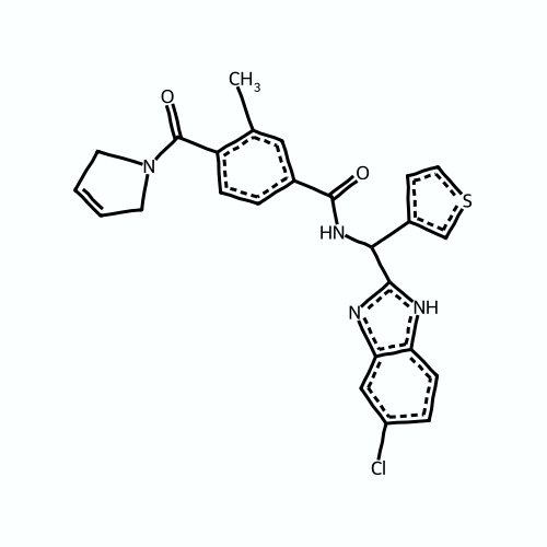 Cc1cc(C(=O)NC(c2ccsc2)c2nc3cc(Cl)ccc3[nH]2)ccc1C(=O)N1CC=CC1